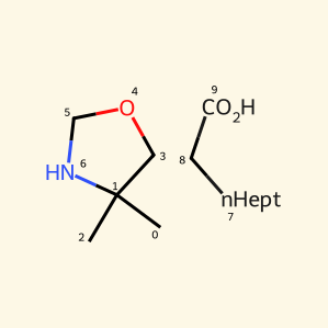 CC1(C)COCN1.CCCCCCCCC(=O)O